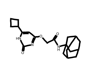 O=C(COc1cc(C2CCC2)[nH]c(=O)n1)NC12CC3CC(CC(C3)C1)C2